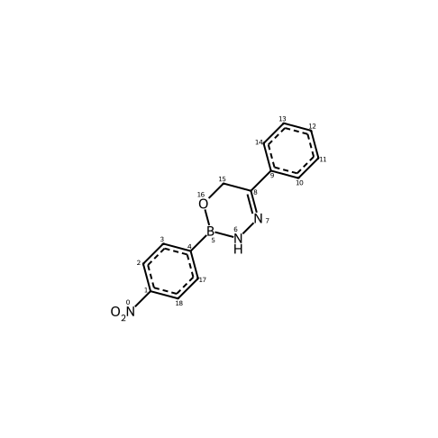 O=[N+]([O-])c1ccc(B2NN=C(c3ccccc3)CO2)cc1